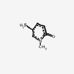 Bc1ccc(=O)n(C)c1